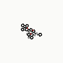 C=N/C(=N\C(=N/Cc1ccccc1)c1ccccc1)c1cccc2oc3ccc(-n4c5ccccc5c5cc6c(cc54)-c4ccccc4C64c5ccccc5-c5ccccc54)cc3c12